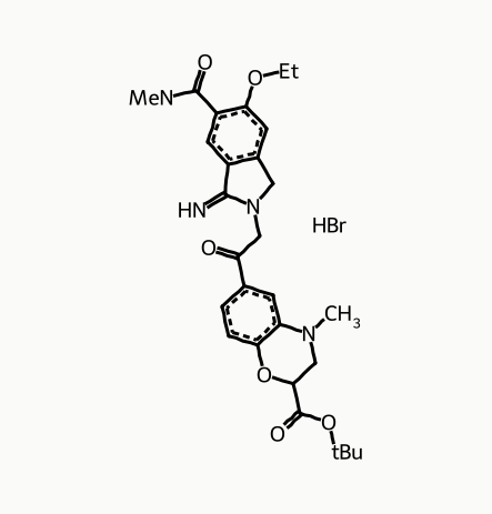 Br.CCOc1cc2c(cc1C(=O)NC)C(=N)N(CC(=O)c1ccc3c(c1)N(C)CC(C(=O)OC(C)(C)C)O3)C2